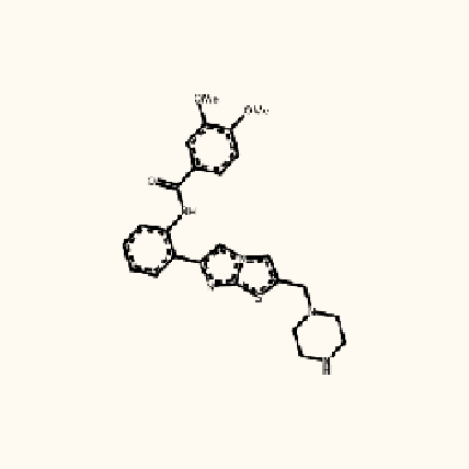 COc1ccc(C(=O)Nc2ccccc2-c2cn3cc(CN4CCNCC4)sc3n2)cc1OC